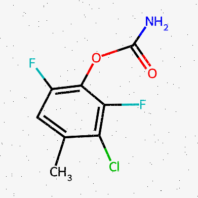 Cc1cc(F)c(OC(N)=O)c(F)c1Cl